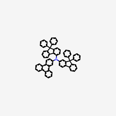 c1ccc(C2(c3ccccc3)c3ccccc3-c3ccc(N(c4ccc5c6ccccc6c6ccccc6c5c4)c4cccc5c4-c4ccccc4C5(c4ccccc4)c4ccccc4)cc32)cc1